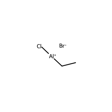 C[CH2][Al+][Cl].[Br-]